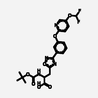 CC(C)(C)OC(=O)NC(Cc1nc(-c2cccc(Oc3ccc(OC(F)F)cn3)c2)no1)C(=O)O